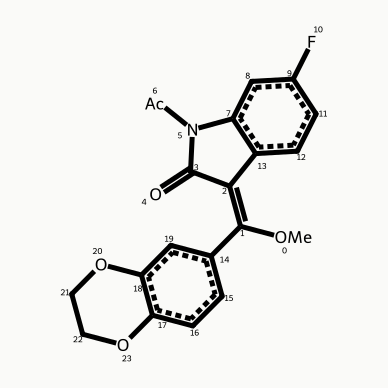 COC(=C1C(=O)N(C(C)=O)c2cc(F)ccc21)c1ccc2c(c1)OCCO2